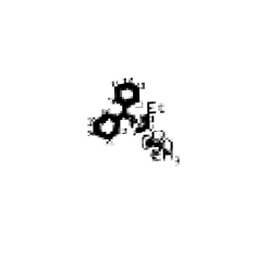 CC[C@@H]1[C@H](OS(C)(=O)=O)CN1C(c1ccccc1)c1ccccc1